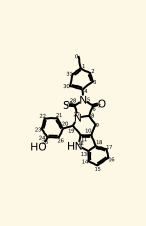 Cc1ccc(N2C(=O)C3Cc4c([nH]c5ccccc45)C(c4cccc(O)c4)N3C2=S)cc1